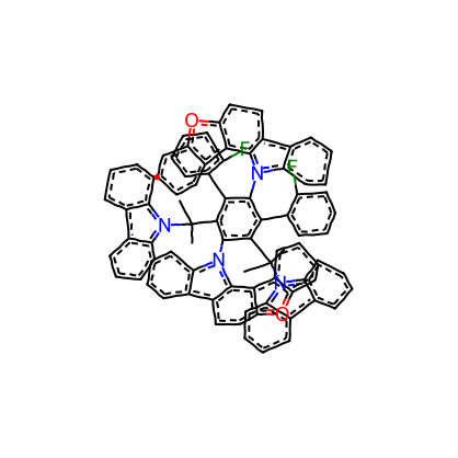 CC(C)(c1c(-c2ccccc2F)c(-n2c3ccccc3c3ccc4oc5ccccc5c4c32)c(-c2ccccc2F)c(C(C)(C)n2c3ccccc3c3ccccc32)c1-n1c2ccccc2c2ccc3oc4ccccc4c3c21)n1c2ccccc2c2ccccc21